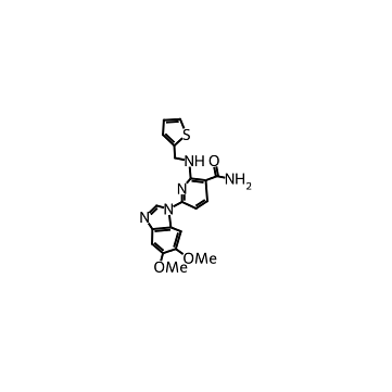 COc1cc2ncn(-c3ccc(C(N)=O)c(NCc4cccs4)n3)c2cc1OC